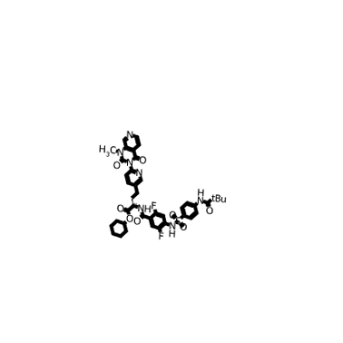 Cn1c(=O)n(-c2ccc(CC[C@H](NC(=O)c3cc(F)c(NS(=O)(=O)c4ccc(NC(=O)C(C)(C)C)cc4)cc3F)C(=O)OC3CCCCC3)cn2)c(=O)c2ccncc21